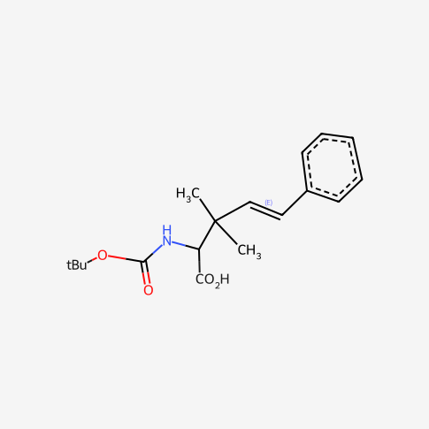 CC(C)(C)OC(=O)NC(C(=O)O)C(C)(C)/C=C/c1ccccc1